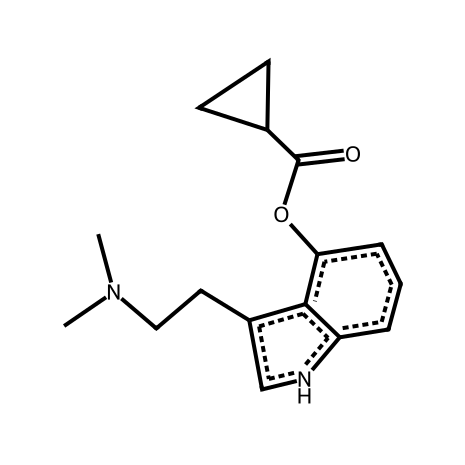 CN(C)CCc1c[nH]c2cccc(OC(=O)C3CC3)c12